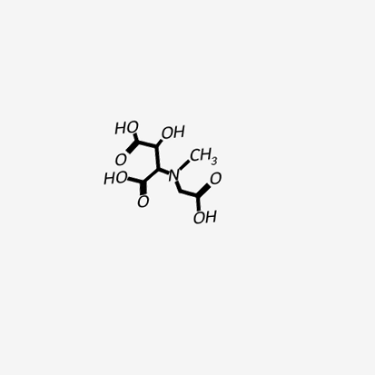 CN(CC(=O)O)C(C(=O)O)C(O)C(=O)O